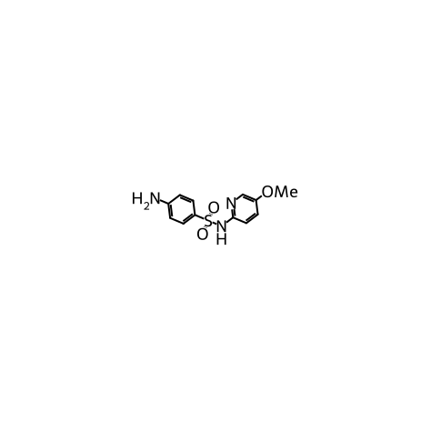 COc1ccc(NS(=O)(=O)c2ccc(N)cc2)nc1